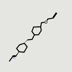 C=CCOCC1CCC(CC[C@H]2CC[C@H](/C=C/C)CC2)CC1